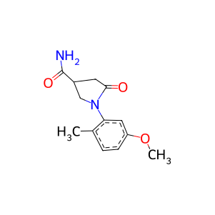 COc1ccc(C)c(N2CC(C(N)=O)CC2=O)c1